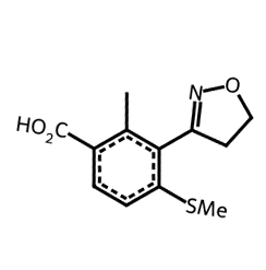 CSc1ccc(C(=O)O)c(C)c1C1=NOCC1